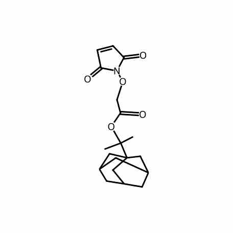 CC(C)(OC(=O)CON1C(=O)C=CC1=O)C12CC3CC(CC(C3)C1)C2